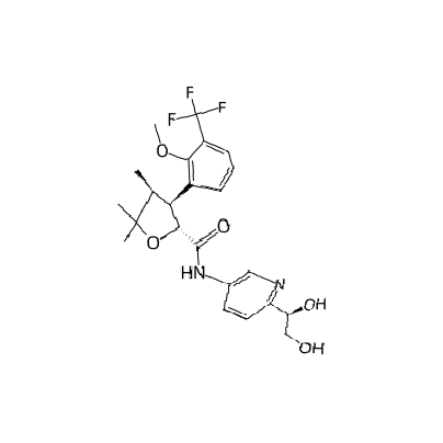 COc1c([C@H]2[C@H](C(=O)Nc3ccc([C@@H](O)CO)nc3)OC(C)(C)[C@H]2C)cccc1C(F)(F)F